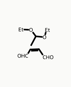 CCOC(C)OCC.O=C/C=C\C=O